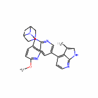 COc1ccc(CN2C3CC2CN(c2ccc(-c4ccnc5[nH]cc(C)c45)cn2)C3)cn1